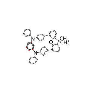 CC1(C)c2cccc(-c3ccc(N(c4ccccc4)c4ccccc4)cc3)c2Oc2c(-c3ccc(N(c4ccccc4)c4ccccc4)cc3)cccc21